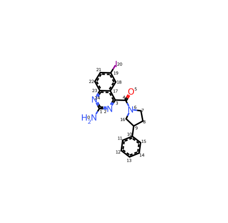 Nc1nc(C(=O)N2CCC(c3ccccc3)C2)c2cc(I)ccc2n1